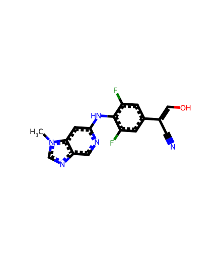 Cn1cnc2cnc(Nc3c(F)cc(C(C#N)=CO)cc3F)cc21